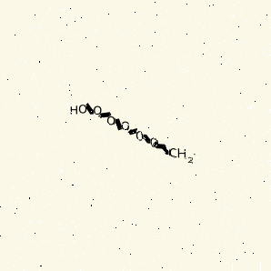 [CH2]CCCOCCOCCOCCOCCOCCO